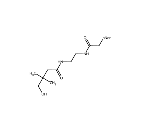 CCCCCCCCCCC(=O)NCCNC(=O)CC(C)(C)CO